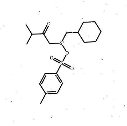 Cc1ccc(S(=O)(=O)O[S+](CC(=O)C(C)C)CC2CCCCC2)cc1